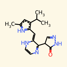 Cc1cc(C(C)C)c(C=C2NC=CN=C2C2C=NNC2=O)[nH]1